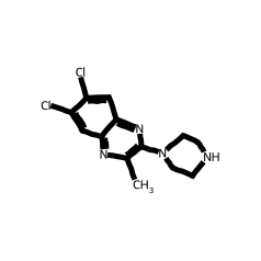 Cc1nc2cc(Cl)c(Cl)cc2nc1N1CCNCC1